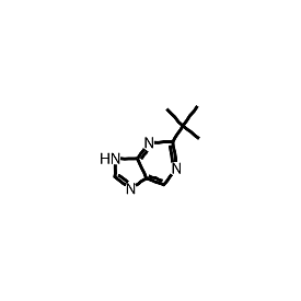 CC(C)(C)c1ncc2nc[nH]c2n1